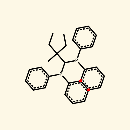 CCC(C)(CC)C(P(c1ccccc1)c1ccccc1)P(c1ccccc1)c1ccccc1